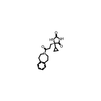 O=C1NC(=O)[C@](CCC(=O)N2CCc3ccccc3CC2)(C2CC2)N1